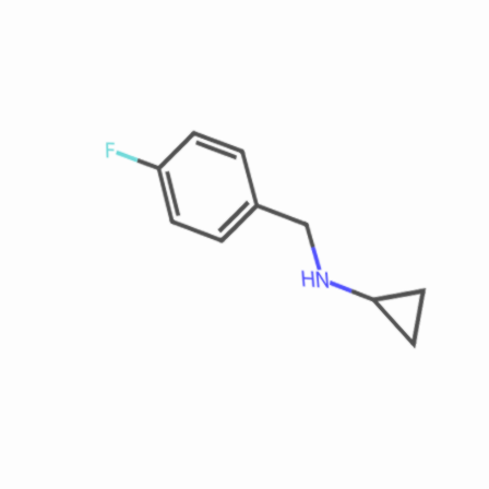 Fc1ccc(CNC2CC2)cc1